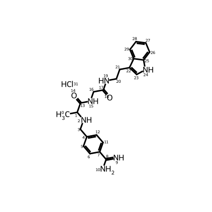 CC(NCc1ccc(C(=N)N)cc1)C(=O)NCC(=O)NCCc1c[nH]c2ccccc12.Cl